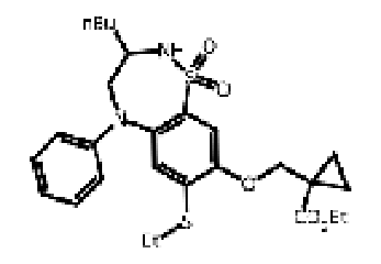 CCCCC1CN(c2ccccc2)c2cc(SCC)c(OCC3(C(=O)OCC)CC3)cc2S(=O)(=O)N1